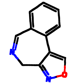 C1=NCc2nocc2-c2ccccc21